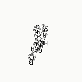 CN(Cc1cc(CN2CCOCC2)cc2c(=O)c(C(=O)NCCc3ccc(Cl)cc3)n[nH]c12)CC1CCCO1